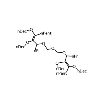 CCCCCCCCCCOC(CCCCC)=C(OCCCCCCCCCC)C(CCC)OCOCOC(CCC)C(OCCCCCCCCCC)=C(CCCCC)OCCCCCCCCCC